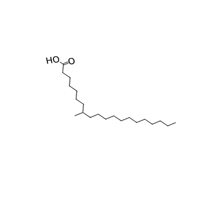 CCCCCCCCCCCCC(C)CCCCCCC(=O)O